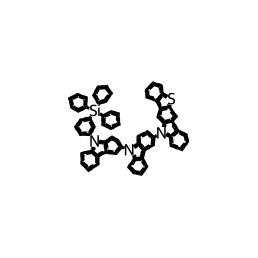 c1ccc([Si](c2ccccc2)(c2ccccc2)c2cccc(-n3c4ccccc4c4cc(-n5c6ccccc6c6cc(-n7c8ccccc8c8cc9sc%10ccccc%10c9cc87)ccc65)ccc43)c2)cc1